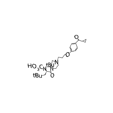 CC(C)(C)C[C@H](C(=O)N1CCN(CCCOc2ccc(C(=O)C3CC3)cc2)CC1)N(C(=O)O)C(C)(C)C